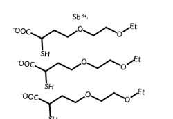 CCOCCOCCC(S)C(=O)[O-].CCOCCOCCC(S)C(=O)[O-].CCOCCOCCC(S)C(=O)[O-].[Sb+3]